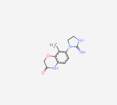 Cc1c(N2CCNC2=N)ccc2c1OCC(=O)N2